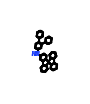 c1ccc(-c2ccc(Nc3ccc4c(c3)-c3ccccc3C43c4ccccc4-c4ccccc43)cc2-c2ccccc2)cc1